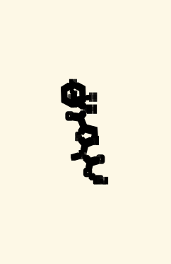 CN(C(=O)OC(C)(C)C)c1ncc(C(=O)N[C@H]2CN3CCC2CC3)s1